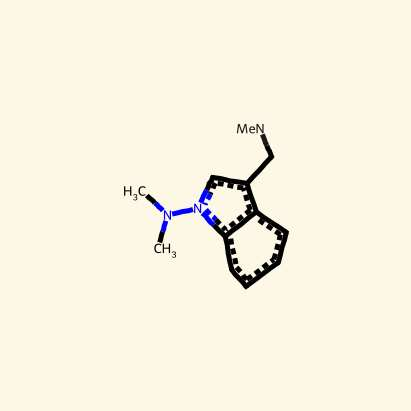 CNCc1cn(N(C)C)c2ccccc12